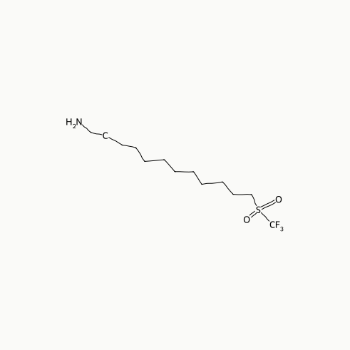 NCCCCCCCCCCCCS(=O)(=O)C(F)(F)F